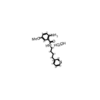 COc1ccc(N)c(C(=O)NCCCCc2cccnc2)c1.Cl.Cl